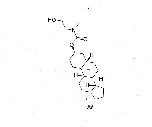 CC(=O)[C@H]1CC[C@H]2[C@@H]3CC[C@H]4C[C@H](OC(=O)N(C)CCO)CC[C@]4(C)[C@H]3CC[C@]12C